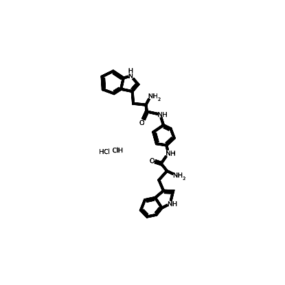 Cl.Cl.NC(Cc1c[nH]c2ccccc12)C(=O)Nc1ccc(NC(=O)C(N)Cc2c[nH]c3ccccc23)cc1